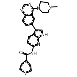 CN1CCN(c2ncnc3ccc(-c4c[nH]c5nc(NC(=O)c6ccncc6)ccc45)cc23)CC1